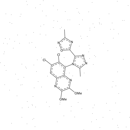 COc1nc2cc(Cl)c(Cl)c(-n3c(C)nnc3-c3nc(C)no3)c2nc1OC